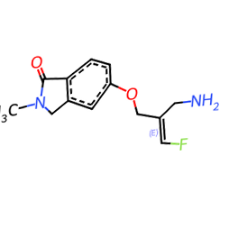 CN1Cc2cc(OC/C(=C/F)CN)ccc2C1=O